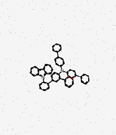 c1ccc(-c2ccc(N(c3ccc(-c4ccccc4)cc3)c3ccc(-c4ccccc4-n4c5ccccc5c5ccccc54)cc3-c3ccccc3)cc2)cc1